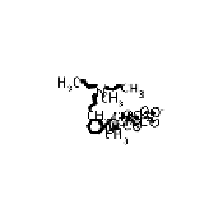 CCCC[N+](C)(CCCC)CCCC.CC[N+](C)(CC)C1CCCCC1.CS(=O)(=O)[O-].CS(=O)(=O)[O-]